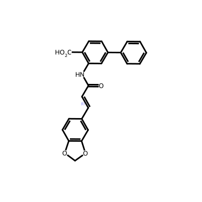 O=C(/C=C/c1ccc2c(c1)OCO2)Nc1cc(-c2ccccc2)ccc1C(=O)O